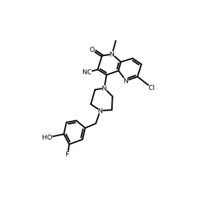 Cn1c(=O)c(C#N)c(N2CCN(Cc3ccc(O)c(F)c3)CC2)c2nc(Cl)ccc21